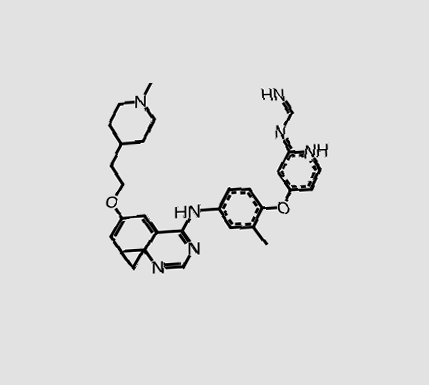 Cc1cc(NC2=NC=NC34CC3C=C(OCCC3CCN(C)CC3)C=C24)ccc1Oc1cc[nH]/c(=N\C=N)c1